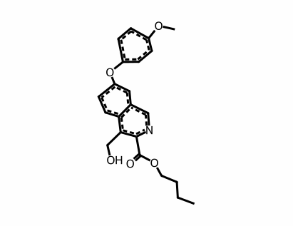 CCCCOC(=O)c1ncc2cc(Oc3ccc(OC)cc3)ccc2c1CO